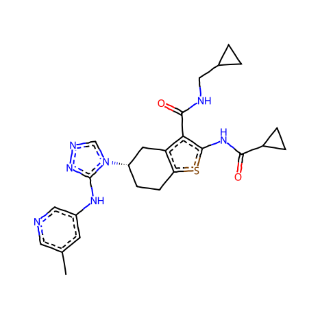 Cc1cncc(Nc2nncn2[C@H]2CCc3sc(NC(=O)C4CC4)c(C(=O)NCC4CC4)c3C2)c1